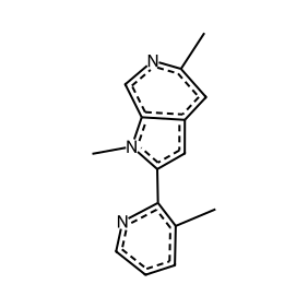 Cc1cc2cc(-c3ncccc3C)n(C)c2cn1